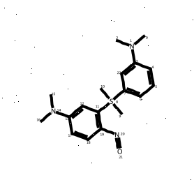 CN(C)c1cccc(S(C)(C)c2cc(N(C)C)ccc2N=O)c1